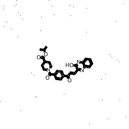 CC(C)OC(=O)C1CCN(C(=O)c2ccc(C(=O)/C=C/c3nc4ccccc4nc3O)cc2)CC1